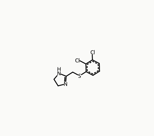 Clc1cccc(SCC2=NCCN2)c1Cl